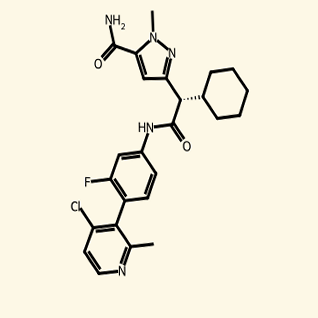 Cc1nccc(Cl)c1-c1ccc(NC(=O)[C@H](c2cc(C(N)=O)n(C)n2)C2CCCCC2)cc1F